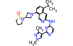 Cc1nn(C)cc1-c1nccc(Nc2cc3c(C(C)C)ccc(N4CC(N5CCC[S+]5[O-])C4)c3cn2)n1